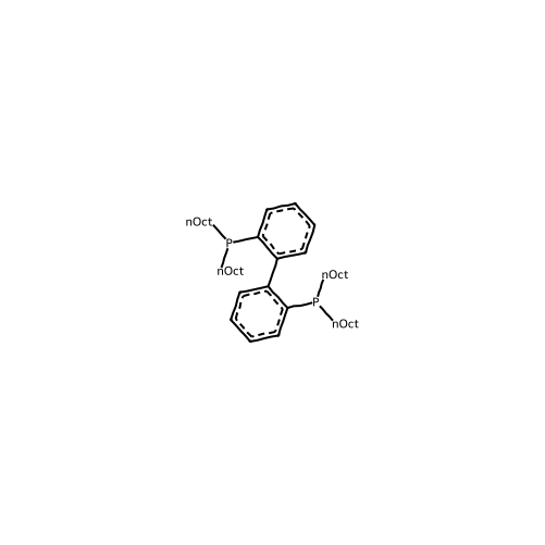 CCCCCCCCP(CCCCCCCC)c1ccccc1-c1ccccc1P(CCCCCCCC)CCCCCCCC